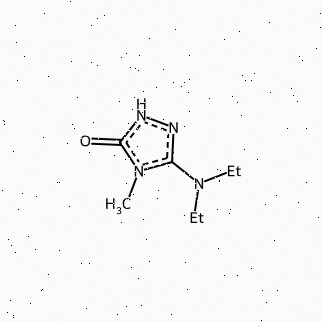 CCN(CC)c1n[nH]c(=O)n1C